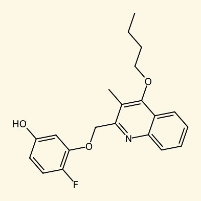 CCCCOc1c(C)c(COc2cc(O)ccc2F)nc2ccccc12